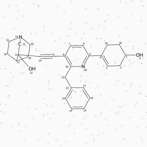 OC1CC=C(c2ccc(C#CC3(O)CN4CCC3CC4)c(Cc3ccccc3)n2)CC1